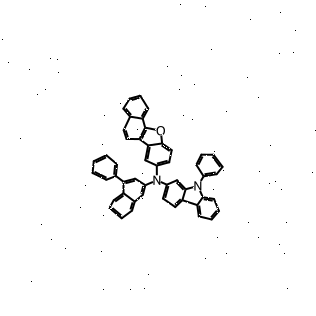 c1ccc(-c2cc(N(c3ccc4oc5c6ccccc6ccc5c4c3)c3ccc4c5ccccc5n(-c5ccccc5)c4c3)cc3ccccc23)cc1